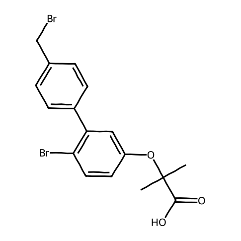 CC(C)(Oc1ccc(Br)c(-c2ccc(CBr)cc2)c1)C(=O)O